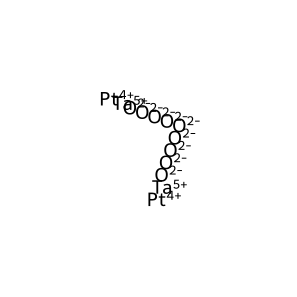 [O-2].[O-2].[O-2].[O-2].[O-2].[O-2].[O-2].[O-2].[O-2].[Pt+4].[Pt+4].[Ta+5].[Ta+5]